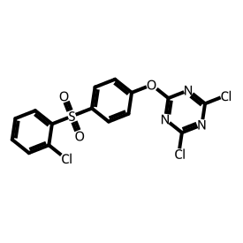 O=S(=O)(c1ccc(Oc2nc(Cl)nc(Cl)n2)cc1)c1ccccc1Cl